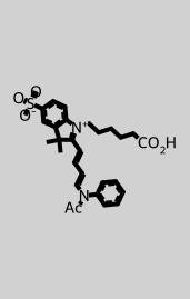 CC(=O)N(C=CC=CC1=[N+](CCCCCC(=O)O)c2ccc(S(=O)(=O)[O-])cc2C1(C)C)c1ccccc1